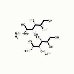 O.O.O=C([O-])[C@H](O)[C@@H](O)[C@H](O)[C@H](O)CO.O=C([O-])[C@H](O)[C@@H](O)[C@H](O)[C@H](O)CO.[Ca+2]